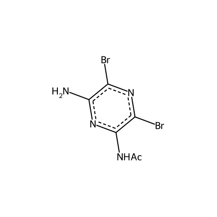 CC(=O)Nc1nc(N)c(Br)nc1Br